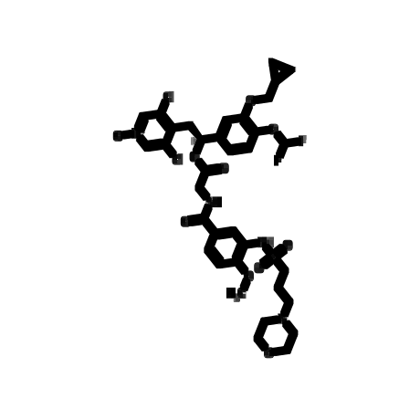 COc1ccc(C(=O)NCC(=O)O[C@@H](Cc2c(Cl)c[n+]([O-])cc2Cl)c2ccc(OC(F)F)c(OCC3CC3)c2)cc1NS(=O)(=O)CCCN1CCOCC1